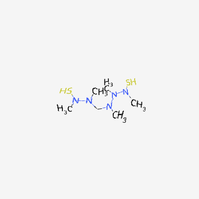 CN(S)N(C)CN(C)N(C)N(C)S